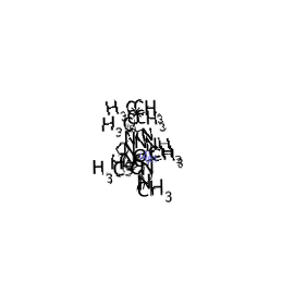 C=C(/C=C(C)\C(=C/C)N1CCN(C)CC1)Nc1ncc2c(n1)N(c1cccc(N3C(=O)OC[C@@H]3C)n1)C[C@@]2(C)COC(C)(C)C